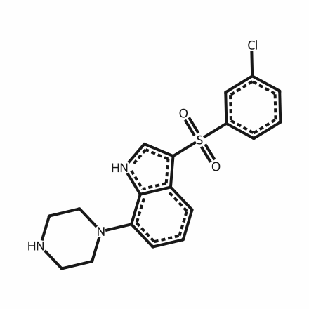 O=S(=O)(c1cccc(Cl)c1)c1c[nH]c2c(N3CCNCC3)cccc12